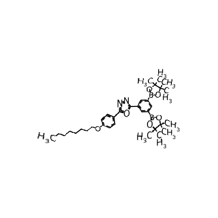 CCCCCCCCOc1ccc(-c2nnc(-c3cc(B4OC(C)(C)C(C)(C)O4)cc(B4OC(C)(C)C(C)(C)O4)c3)o2)cc1